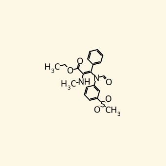 CCOC(=O)/C(NC)=C(\c1ccccc1)N(C=O)c1cccc(S(C)(=O)=O)c1